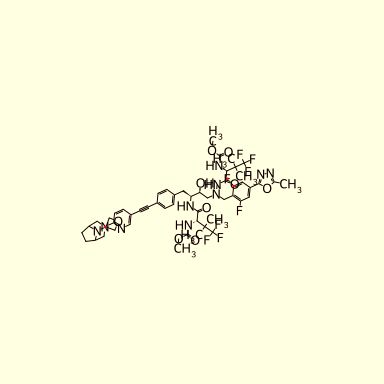 COC(=O)N[C@H](C(=O)N[C@@H](Cc1ccc(C#Cc2ccc(N3CC4CCC(C3)N4C3COC3)nc2)cc1)[C@@H](O)CN(Cc1c(F)cc(-c2nnc(C)o2)cc1F)NC(=O)[C@@H](NC(=O)OC)C(C)(C)C(F)(F)F)C(C)(C)C(F)(F)F